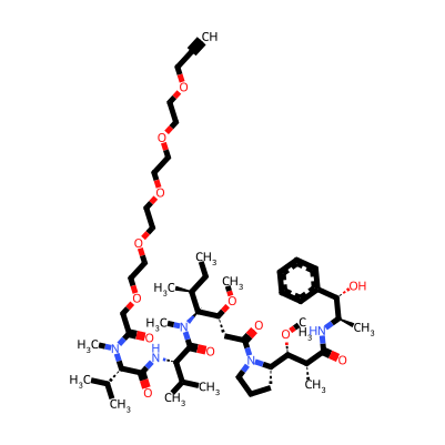 C#CCOCCOCCOCCOCCOCC(=O)N(C)[C@H](C(=O)N[C@H](C(=O)N(C)[C@@H]([C@@H](C)CC)[C@@H](CC(=O)N1CCC[C@H]1[C@H](OC)[C@@H](C)C(=O)N[C@H](C)[C@@H](O)c1ccccc1)OC)C(C)C)C(C)C